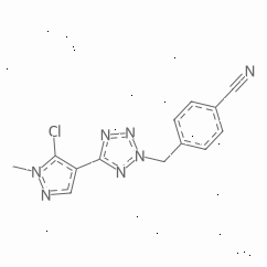 Cn1ncc(-c2nnn(Cc3ccc(C#N)cc3)n2)c1Cl